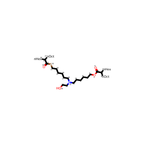 CCCCCCCCC(CCCCCC)C(=O)OCCCCCCN(CCO)CCCCCCSC(=O)C(CCCCCC)CCCCCCCC